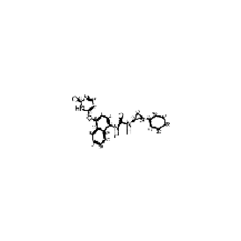 O=C(Nc1ccc(Oc2ccnc(=O)[nH]2)c2ccccc12)NC1CC1C1CCCCC1